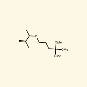 C=C(C)C(C)OCCCC(OC)(OC)OC